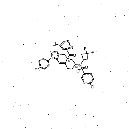 O=C(c1cc(Cl)ccn1)[C@]12Cc3cnn(-c4ccc(F)cc4)c3C=C1CC[C@H](N(C1CC(F)(F)C1)S(=O)(=O)c1ccc(Cl)nc1)C2